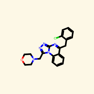 Clc1ccccc1Cc1nc2nnc(CN3CCOCC3)n2c2ccccc12